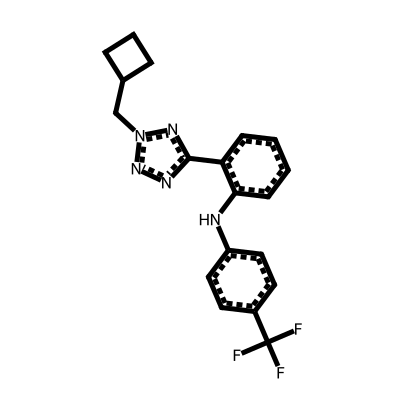 FC(F)(F)c1ccc(Nc2ccccc2-c2nnn(CC3CCC3)n2)cc1